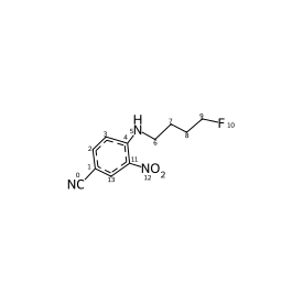 N#Cc1ccc(NCCCCF)c([N+](=O)[O-])c1